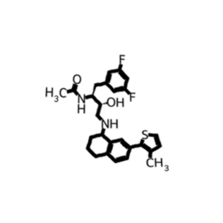 CC(=O)N[C@@H](Cc1cc(F)cc(F)c1)[C@H](O)CNC1CCCc2ccc(-c3sccc3C)cc21